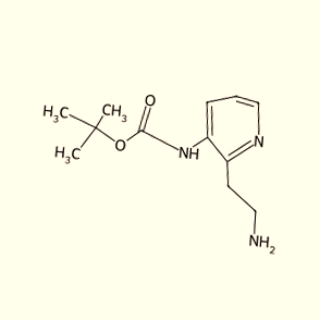 CC(C)(C)OC(=O)Nc1cccnc1CCN